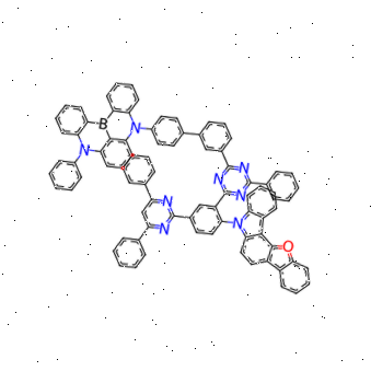 c1ccc(-c2cc(-c3ccccc3)nc(-c3ccc(-n4c5ccccc5c5c6oc7ccccc7c6ccc54)c(-c4nc(-c5ccccc5)nc(-c5cccc(-c6ccc(N7c8ccccc8B8c9ccccc9N(c9ccccc9)c9cccc7c98)cc6)c5)n4)c3)n2)cc1